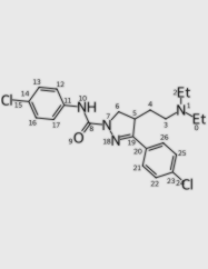 CCN(CC)CCC1CN(C(=O)Nc2ccc(Cl)cc2)N=C1c1ccc(Cl)cc1